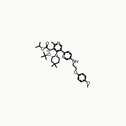 COc1ccc(OCCNc2ccc(-c3cnc(C)c([C@H](OC(C)(C)C)C(=O)OC(C)C)c3N3CCC(C)(C)CC3)nc2)cc1